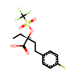 CC[C@](CCc1ccc(F)cc1)(OS(=O)(=O)C(F)(F)F)C(=O)O